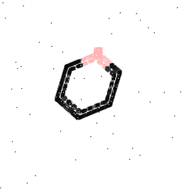 b1ccccc1